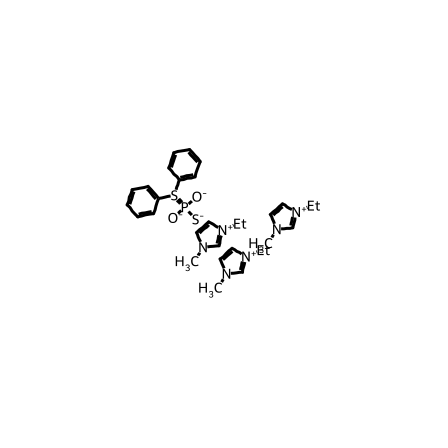 CC[n+]1ccn(C)c1.CC[n+]1ccn(C)c1.CC[n+]1ccn(C)c1.[O-]P([O-])([S-])=S(c1ccccc1)c1ccccc1